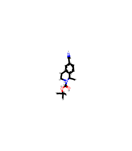 CC1c2ccc(C#N)cc2CCN1C(=O)OC(C)(C)C